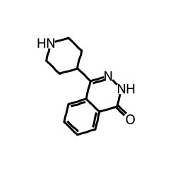 O=c1[nH]nc(C2CCNCC2)c2ccccc12